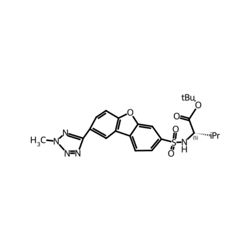 CC(C)[C@H](NS(=O)(=O)c1ccc2c(c1)oc1ccc(-c3nnn(C)n3)cc12)C(=O)OC(C)(C)C